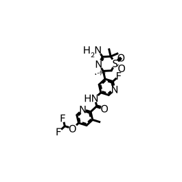 Cc1cc(OC(F)F)cnc1C(=O)Nc1cnc(F)c([C@]2(C)CS(=O)(=O)C(C)(C)C(N)=N2)c1